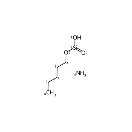 CCCCCO[Si](=O)O.N